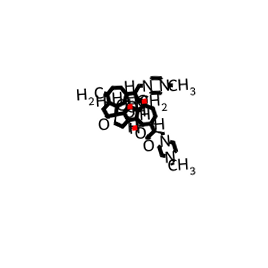 C=C1CC[C@@H]2[C@H](OC(=O)[C@@H]2CN2CCN(C)CC2)[C@@H]2[C@H]1C[C@@]1(O)[C@]2(O)CC[C@]12C(=O)C[C@H]1C(=C)CC[C@H]3C(CN4CCN(C)CC4)C(=O)O[C@@H]3[C@H]12